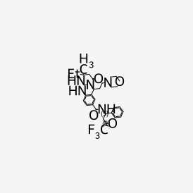 CCC1(C)CC(=O)N(C(CCN2CCOCC2)c2cccc(C(=O)N[C@H]3C[C@H](C(F)(F)F)Oc4ccccc43)c2)C(=N)N1